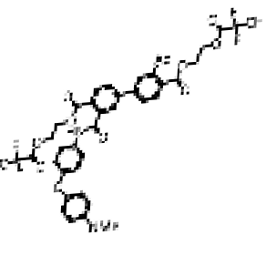 CNc1ccc(Oc2ccc(NC(=O)c3cc(-c4ccc(C(=O)OCCOC(=O)C(C)(F)F)c(C(C)=O)c4)ccc3C(=O)OCCOC(=O)C(F)(F)C(F)(F)F)cc2)cc1